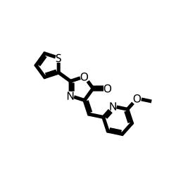 COc1cccc(C=C2N=C(c3cccs3)OC2=O)n1